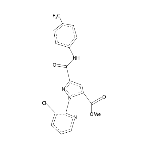 COC(=O)c1cc(C(=O)Nc2ccc(C(F)(F)F)cc2)nn1-c1ncccc1Cl